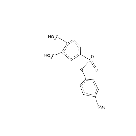 CSc1ccc(OS(=O)(=O)c2ccc(C(=O)O)c(C(=O)O)c2)cc1